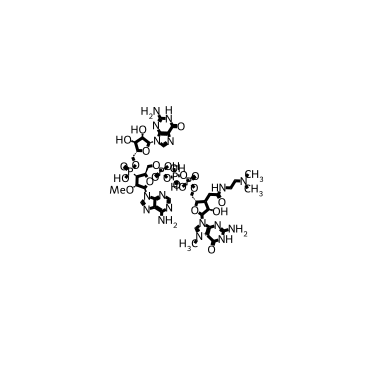 CO[C@@H]1[C@H](P(=O)(O)OC[C@H]2O[C@@H](n3cnc4c(=O)[nH]c(N)nc43)[C@H](O)[C@@H]2O)[C@@H](COP(=O)(O)OP(=O)(O)OP(=O)(O)OC[C@H]2OC(n3c[n+](C)c4c(=O)[nH]c(N)nc43)[C@H](O)C2CC(=O)NCCN(C)C)O[C@H]1n1cnc2c(N)ncnc21